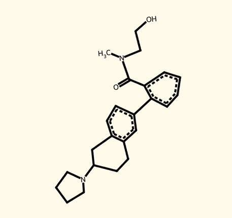 CN(CCO)C(=O)c1ccccc1-c1ccc2c(c1)CCC(N1CCCC1)C2